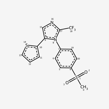 CS(=O)(=O)c1ccc(-n2c(-c3cccs3)cnc2C(F)(F)F)cc1